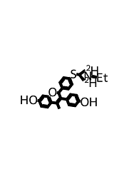 [2H]C([2H])(CC)N1CC(Sc2ccc(C3Oc4cc(O)ccc4C(C)=C3c3ccc(O)cc3)cc2)C1